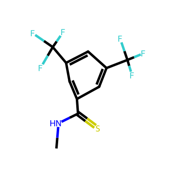 CNC(=S)c1cc(C(F)(F)F)cc(C(F)(F)F)c1